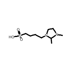 CC1N(C)CCN1CCCCS(=O)(=O)O